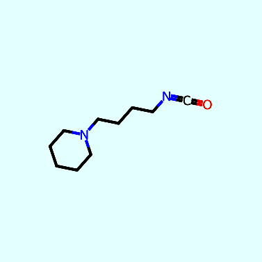 O=C=NCCCCN1CCCCC1